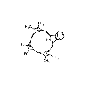 CCc1c(CC)c2cc3nc(cc4[nH]c(cc5nc(cc1[nH]2)C(C)=C5C)c1c4C2C=CC1CC2)C(C)=C3C